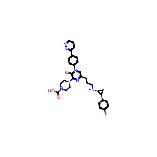 O=C(O)N1CCN(c2nc(CCCN[C@@H]3C[C@H]3c3ccc(F)cc3)cn(-c3ccc(-c4cccnn4)cc3)c2=O)CC1